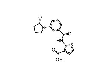 O=C(Nc1sccc1C(=O)O)c1cccc(N2CCCC2=O)c1